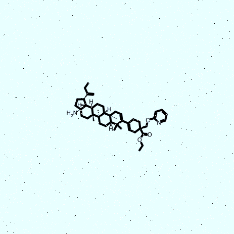 C=C(CC)[C@@H]1CC[C@]2(N)CC[C@]3(C)[C@H](CC[C@@H]4[C@@]5(C)CC=C(C6=CCC(COc7ccccn7)(C(=O)OCC)CC6)C(C)(C)[C@@H]5CC[C@]43C)[C@@H]12